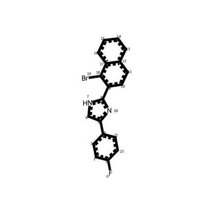 Fc1ccc(-c2c[nH]c(-c3ccc4ccccc4c3Br)n2)cc1